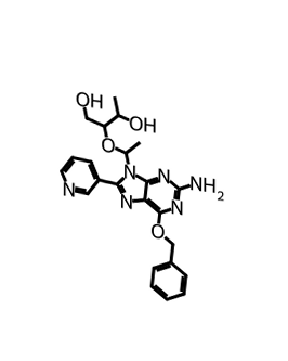 CC(O)C(CO)OC(C)n1c(-c2cccnc2)nc2c(OCc3ccccc3)nc(N)nc21